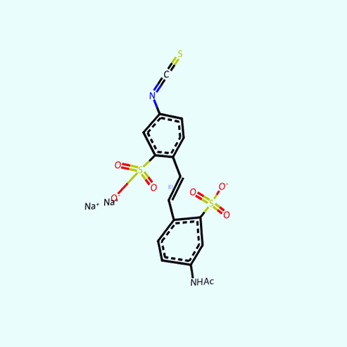 CC(=O)Nc1ccc(/C=C/c2ccc(N=C=S)cc2S(=O)(=O)[O-])c(S(=O)(=O)[O-])c1.[Na+].[Na+]